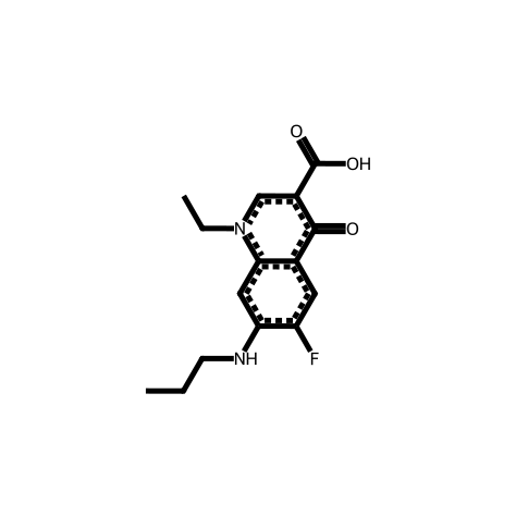 CCCNc1cc2c(cc1F)c(=O)c(C(=O)O)cn2CC